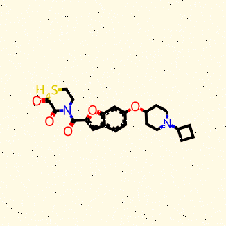 O=C1[SH4]CCN(C(=O)c2cc3ccc(OC4CCN(C5CCC5)CC4)cc3o2)C1=O